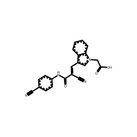 N#C/C(=C\c1cn(CC(=O)O)c2ccccc12)C(=O)Nc1ccc(C#N)cc1